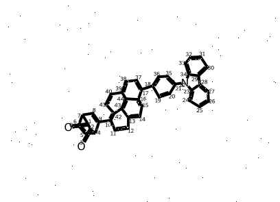 O=C1C(=O)C2C=CC1C=C2c1ccc2ccc3c(-c4ccc(-n5c6ccccc6c6ccccc65)cc4)ccc4ccc1c2c43